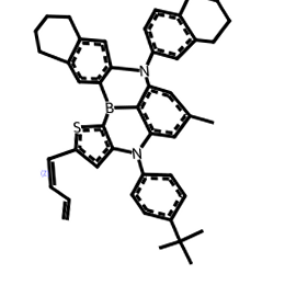 C=C/C=C\c1cc2c(s1)B1c3cc4c(cc3N(c3ccc5c(c3)CCCC5)c3cc(C)cc(c31)N2c1ccc(C(C)(C)C)cc1)CCCC4